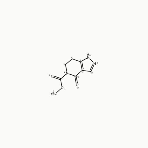 CC(C)(C)OC(=O)N1CCc2[nH]ncc2C1=O